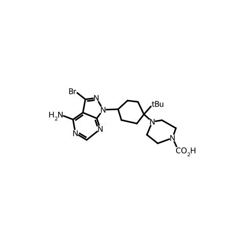 CC(C)(C)C1(N2CCN(C(=O)O)CC2)CCC(n2nc(Br)c3c(N)ncnc32)CC1